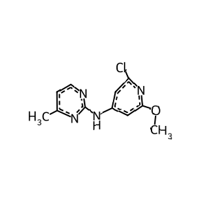 COc1cc(Nc2nccc(C)n2)cc(Cl)n1